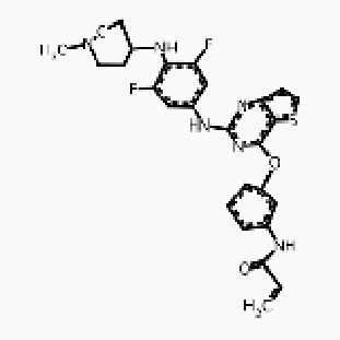 C=CC(=O)Nc1cccc(Oc2nc(Nc3cc(F)c(NC4CCN(C)CC4)c(F)c3)nc3ccsc23)c1